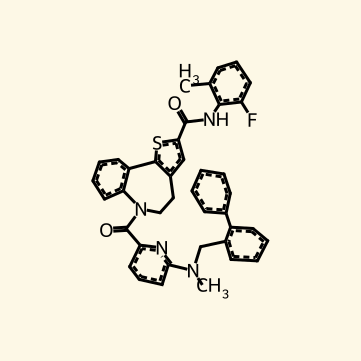 Cc1cccc(F)c1NC(=O)c1cc2c(s1)-c1ccccc1N(C(=O)c1cccc(N(C)Cc3ccccc3-c3ccccc3)n1)CC2